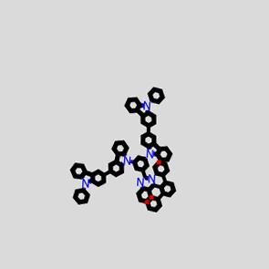 c1ccc(-c2cccc(-c3ccccc3)c2-c2nc(-c3cc(-n4c5ccccc5c5cc(-c6ccc7c(c6)c6ccccc6n7-c6ccccc6)ccc54)cc(-n4c5ccccc5c5cc(-c6ccc7c(c6)c6ccccc6n7-c6ccccc6)ccc54)c3)nc3ccccc23)cc1